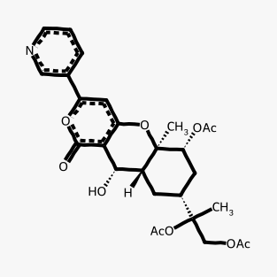 CC(=O)OCC(C)(OC(C)=O)[C@@H]1C[C@@H]2[C@H](O)c3c(cc(-c4cccnc4)oc3=O)O[C@@]2(C)[C@H](OC(C)=O)C1